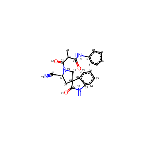 CC(C(=O)Nc1ccccc1)C(=O)N1C[C@]2(C[C@H]1C#N)C(=O)Nc1ccccc12